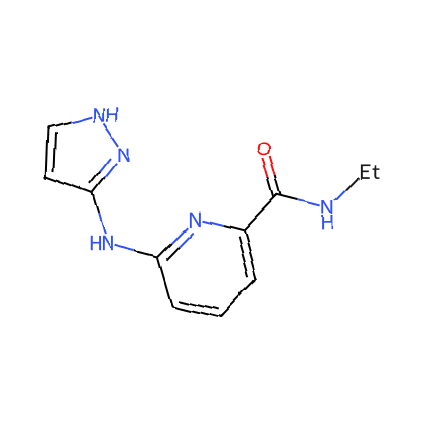 CCNC(=O)c1cccc(Nc2cc[nH]n2)n1